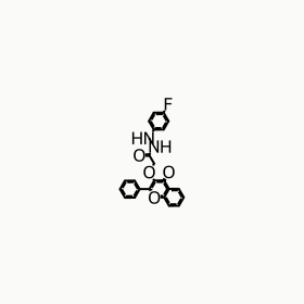 O=C(COc1c(-c2ccccc2)oc2ccccc2c1=O)NNc1ccc(F)cc1